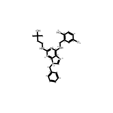 CC(C)(O)CCNc1nc(NCc2cc(Cl)ccc2O)c2ncn(Cc3ccccc3)c2n1